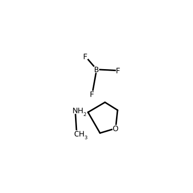 C1CCOC1.CN.FB(F)F